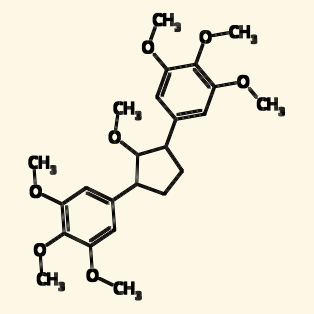 COc1cc(C2CCC(c3cc(OC)c(OC)c(OC)c3)C2OC)cc(OC)c1OC